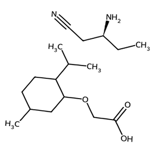 CC1CCC(C(C)C)C(OCC(=O)O)C1.CC[C@H](N)CC#N